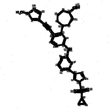 Cn1cc(C#Cc2cnc(Nc3ccnc(-c4cnn(S(=O)(=O)C5CC5)c4)n3)cc2N2CCCC(O)CC2)cn1